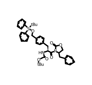 CC(C)(C)OC(=O)N[C@@H](Cc1ccc(CO[Si](c2ccccc2)(c2ccccc2)C(C)(C)C)cc1)C(=O)N1C(=O)OCC1Cc1ccccc1